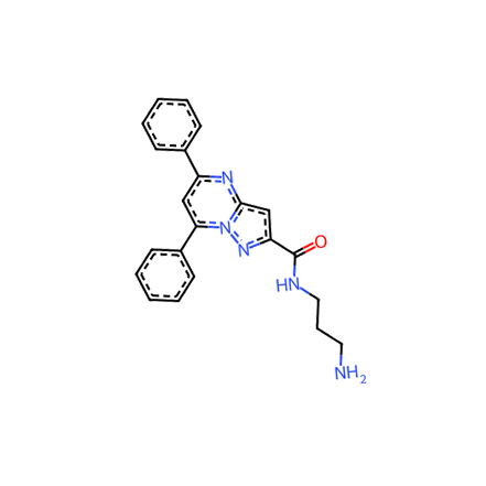 NCCCNC(=O)c1cc2nc(-c3ccccc3)cc(-c3ccccc3)n2n1